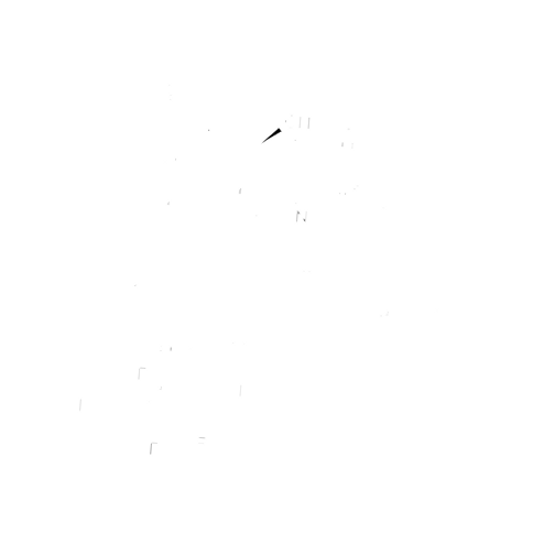 CC1(C)Oc2ccc(S(=O)(=O)C(F)(F)C(F)(F)C(F)(F)F)cc2[C@@H](N2Cc3ccccc3C2=O)[C@@H]1O